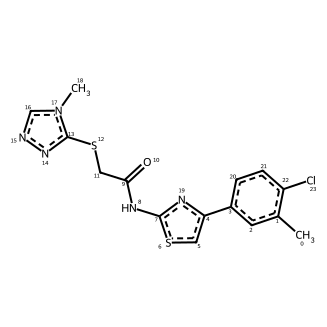 Cc1cc(-c2csc(NC(=O)CSc3nncn3C)n2)ccc1Cl